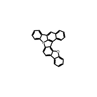 c1ccc2c(c1)cc1c3ccccc3n3c4ccc5c6ccccc6oc5c4c2c13